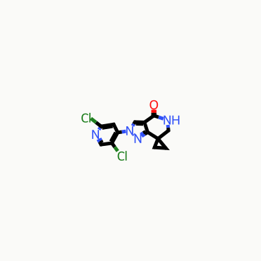 O=C1NCC2(CC2)c2nn(-c3cc(Cl)ncc3Cl)cc21